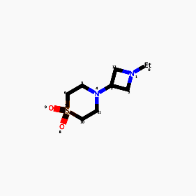 CCN1CC(N2CCS(=O)(=O)CC2)C1